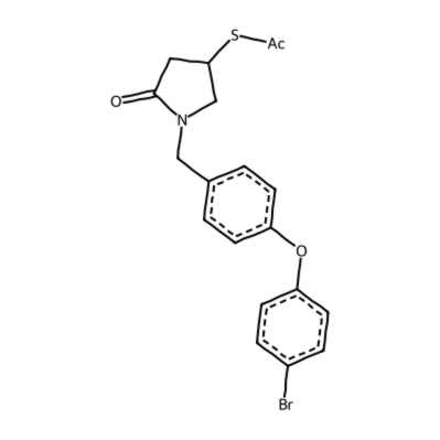 CC(=O)SC1CC(=O)N(Cc2ccc(Oc3ccc(Br)cc3)cc2)C1